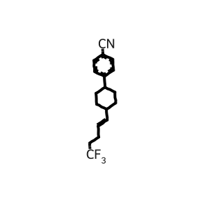 N#Cc1ccc(C2CCC(C=CCCC(F)(F)F)CC2)cc1